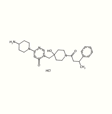 CC(CC(=O)N1CCC(O)(Cn2cnc(N3CCC(N)CC3)cc2=O)CC1)c1ccccc1.Cl